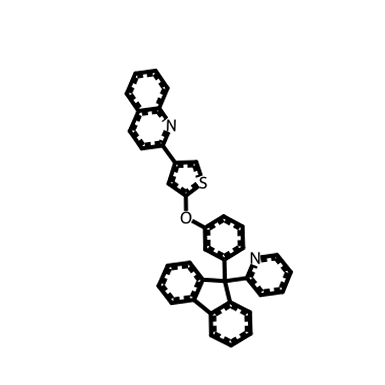 c1ccc(C2(c3cccc(Oc4cc(-c5ccc6ccccc6n5)cs4)c3)c3ccccc3-c3ccccc32)nc1